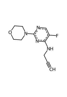 C#CCNc1nc(N2CCOCC2)ncc1F